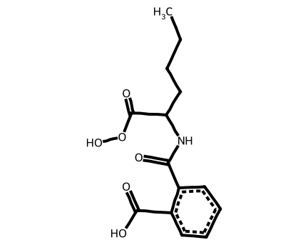 CCCCC(NC(=O)c1ccccc1C(=O)O)C(=O)OO